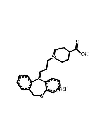 Cl.O=C(O)C1CCN(CCC=C2c3ccccc3CSc3ccccc32)CC1